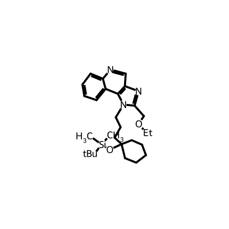 CCOCc1nc2cnc3ccccc3c2n1CCCC1(O[Si](C)(C)C(C)(C)C)CCCCC1